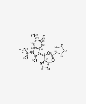 NC(=O)N1C(=O)C(=C(OC(=O)C2CCCC2)c2cccs2)c2cc(F)c(Cl)cc21